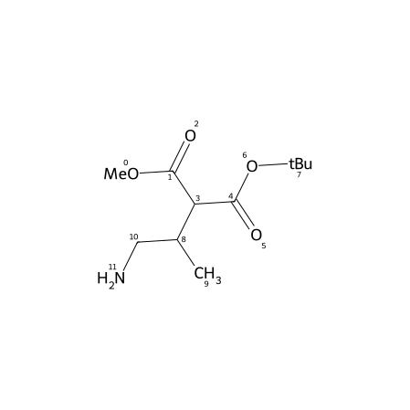 COC(=O)C(C(=O)OC(C)(C)C)C(C)CN